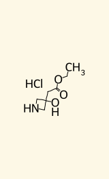 CCOC(=O)CC1(O)CNC1.Cl